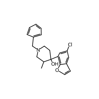 CC1CN(Cc2ccccc2)CCC1(O)c1cc(Cl)cc2ccoc12